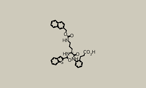 O=C(O)CCc1ccccc1NC(=O)[C@H](CCCNC(=O)OCc1ccc2ccccc2c1)NC(=O)c1cc2ccccc2s1